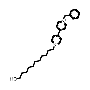 OCCCCCCCCCCC[n+]1ccc(-c2cc[n+](Cc3ccccc3)cc2)cc1